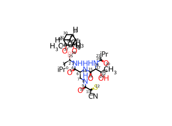 CC(C)C[C@H](NC(=O)[C@H](CNC(=O)C(=S)C#N)NC(=O)[C@@H](NC(=O)C(C)C)[C@@H](C)O)B1O[C@@H]2C[C@@H]3C[C@@H](C3(C)C)[C@]2(C)O1